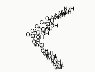 [NaH].[NaH].[NaH].[NaH].[NaH].[NaH].[NaH].[NaH].[NaH].[NaH].[NaH].[O-][Cl+]O.[O-][Cl+]O.[O-][Cl+]O.[O-][Cl+]O.[O-][Cl+]O.[O-][Cl+]O